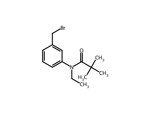 CCN(C(=O)C(C)(C)C)c1cccc(CBr)c1